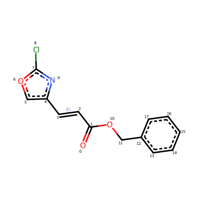 O=C(/C=C/c1coc(Cl)n1)OCc1ccccc1